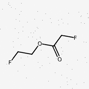 O=C(CF)OCCF